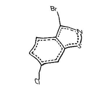 Clc1ccc2c(Br)nsc2c1